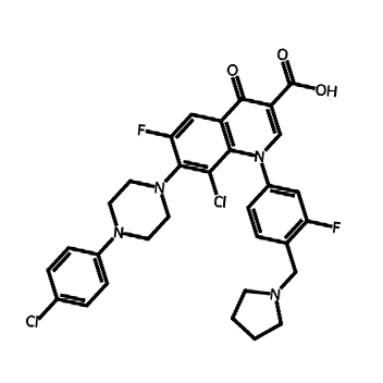 O=C(O)c1cn(-c2ccc(CN3CCCC3)c(F)c2)c2c(Cl)c(N3CCN(c4ccc(Cl)cc4)CC3)c(F)cc2c1=O